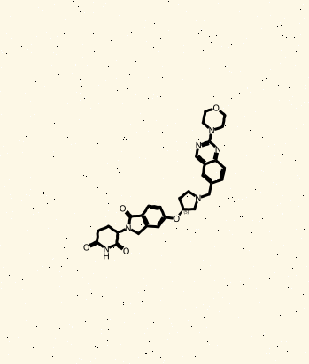 O=C1CCC(N2Cc3cc(O[C@H]4CCN(Cc5ccc6nc(N7CCOCC7)ncc6c5)C4)ccc3C2=O)C(=O)N1